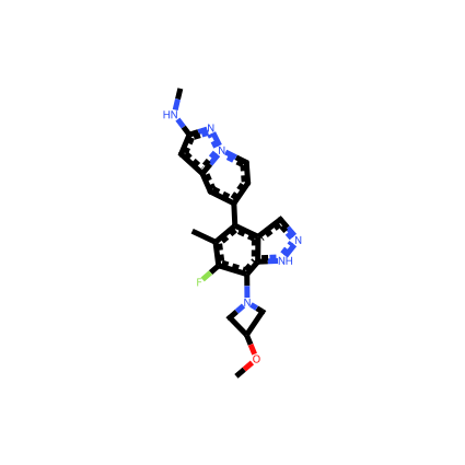 CNc1cc2cc(-c3c(C)c(F)c(N4CC(OC)C4)c4[nH]ncc34)ccn2n1